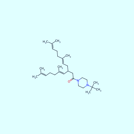 CC(C)=CCC/C(C)=C/CC(/C=C(\C)CCC=C(C)C)CC(=O)N1CCN(C(C)(C)C)CC1